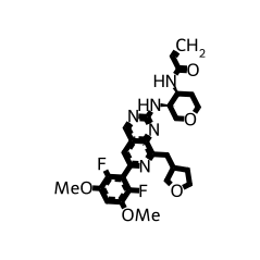 C=CC(=O)N[C@H]1CCOC[C@H]1Nc1ncc2cc(-c3c(F)c(OC)cc(OC)c3F)nc(CC3CCOC3)c2n1